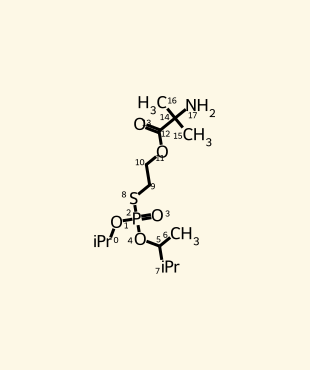 CC(C)OP(=O)(OC(C)C(C)C)SCCOC(=O)C(C)(C)N